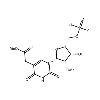 COC(=O)Cc1cn([C@@H]2O[C@H](COP(=O)(Cl)Cl)[C@H](O)[C@@H]2OC)c(=O)[nH]c1=O